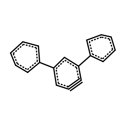 c1cc(-c2ccccc2)cc(-c2ccccc2)c#1